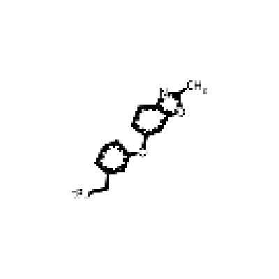 Cc1nc2ccc(Oc3cccc(CC(C)(C)C)c3)cc2o1